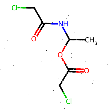 CC(NC(=O)CCl)OC(=O)CCl